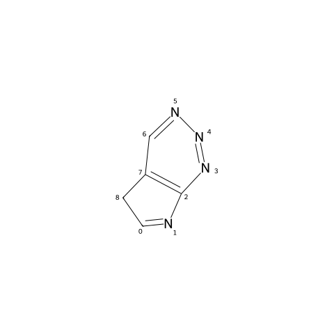 C1=Nc2nnncc2C1